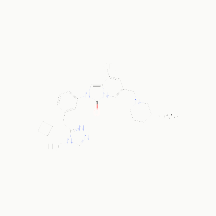 CO[C@@H]1CCCN(Cc2cc(C(F)(F)F)c3cn(-c4cccc([C@H](c5nncn5C)C5CCC5)c4)c(=O)n3c2)C1